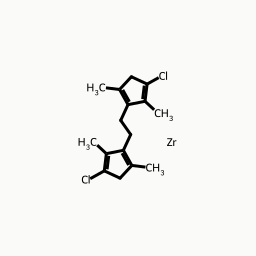 CC1=C(CCC2=C(C)CC(Cl)=C2C)C(C)=C(Cl)C1.[Zr]